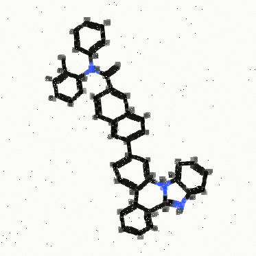 C=C(c1ccc2cc(-c3ccc4c5ccccc5c5nc6ccccc6n5c4c3)ccc2c1)N(c1ccccc1)c1ccccc1C